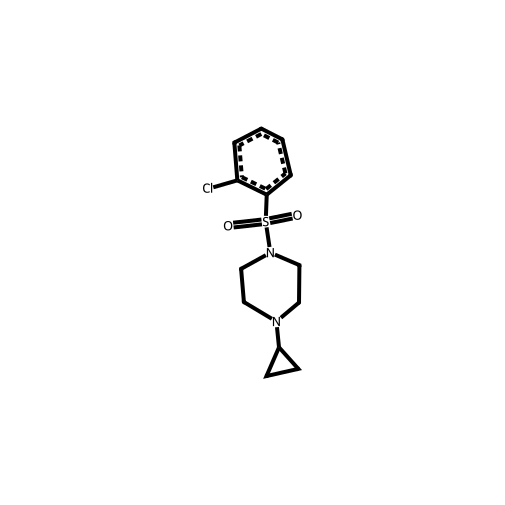 O=S(=O)(c1ccccc1Cl)N1CCN(C2CC2)CC1